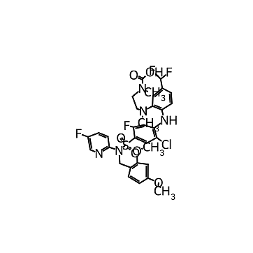 COc1ccc(CN(c2ccc(F)cn2)S(=O)(=O)c2cc(Cl)c(Nc3ccc(C(F)F)cc3N(C)CCN(C)C(=O)O)cc2F)c(OC)c1